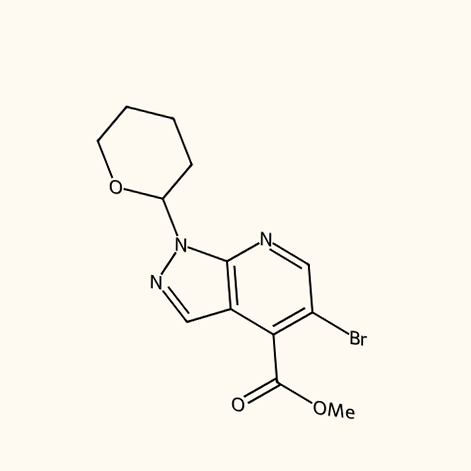 COC(=O)c1c(Br)cnc2c1cnn2C1CCCCO1